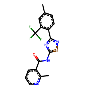 Cc1ccc(-c2nsc(NC(=O)c3cccnc3C)n2)c(C(F)(F)F)c1